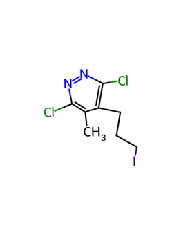 Cc1c(Cl)nnc(Cl)c1CCCI